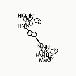 COC(=O)NC(C(=O)N1[C@@H]2C[C@@H]2C[C@H]1c1nc(C#Cc2ccc3cc(-c4c[nH]c([C@@H]5C[C@H]6C[C@H]6N5C(=O)C(C5CCOCC5)N(C)C(=O)O)n4)ccc3c2)c[nH]1)C1CCOCC1